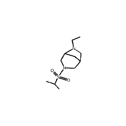 CCN1CC2CC1CN(S(=O)(=O)C(C)C)C2